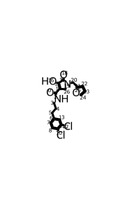 O=C(NCCCc1ccc(Cl)c(Cl)c1)C1=C(O)C(=O)N(Cc2ccco2)C1